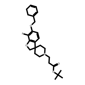 CC(C)(C)OC(=O)CCN1CCC2(CC1)COc1c2ccc(OCC2=CC=CCC2)c1F